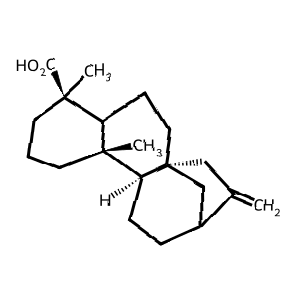 C=C1C[C@@]23CCC4[C@](C)(C(=O)O)CCC[C@@]4(C)[C@@H]2CCC1C3